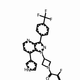 C=C(F)C(=O)N1CC(n2nc(-c3ccc(C(F)(F)F)cc3)c3nccc(-c4cc[nH]c4)c32)C1